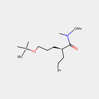 CON(C)C(=O)[C@H](CCCO[Si](C)(C)C(C)(C)C)CCC(C)C